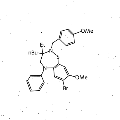 CCCCC1(CC)CN(c2ccccc2)c2cc(Br)c(OC)cc2SN1Cc1ccc(OC)cc1